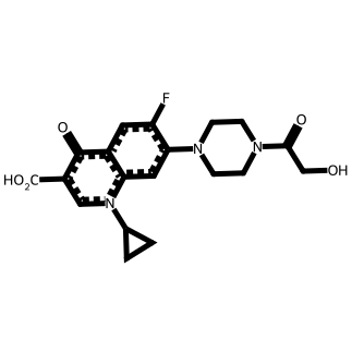 O=C(O)c1cn(C2CC2)c2cc(N3CCN(C(=O)CO)CC3)c(F)cc2c1=O